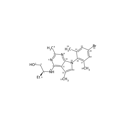 CC[C@@H](CO)Nc1nc(C)nc2c1c(C)cn2-c1c(C)cc(Br)cc1C